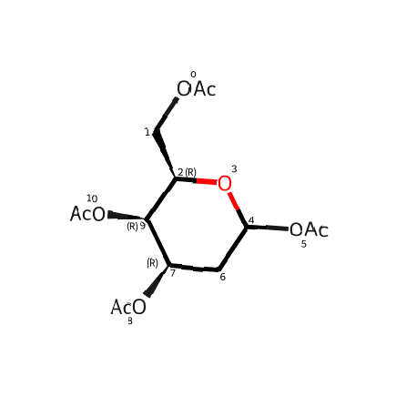 CC(=O)OC[C@H]1OC(OC(C)=O)C[C@@H](OC(C)=O)[C@H]1OC(C)=O